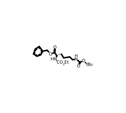 CCOC(=O)N[C@@H](CCCCNC(=O)OC(C)(C)C)C(=O)OCc1ccccc1